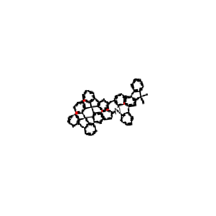 CC1(C)c2ccccc2-c2ccc(-c3ccccc3N(c3ccccc3)c3ccccc3-c3ccc4c(c3)-c3ccccc3C43c4ccccc4C4(c5ccccc5-c5ccccc54)c4ccccc43)cc21